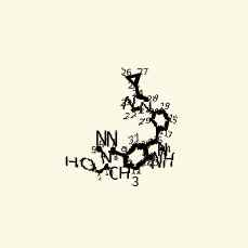 CC(CO)n1cnnc1-c1ccc2[nH]nc(-c3cccc(-n4cnc(C5CC5)c4)c3)c2c1